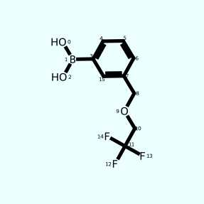 OB(O)c1cccc(COCC(F)(F)F)c1